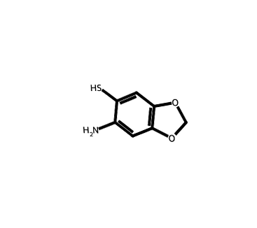 Nc1cc2c(cc1S)OCO2